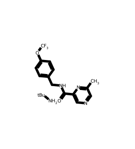 CC(C)(C)N.Cc1cncc(C(=O)NCc2ccc(OC(F)(F)F)cc2)n1